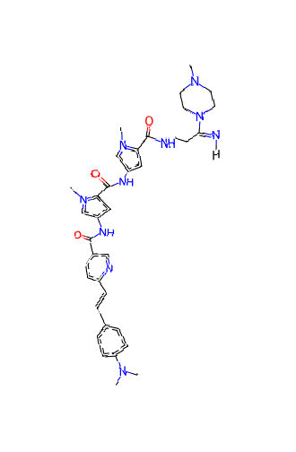 [H]/N=C(\CCNC(=O)c1cc(NC(=O)c2cc(NC(=O)c3ccc(C=Cc4ccc(N(C)C)cc4)nc3)cn2C)cn1C)N1CCN(C)CC1